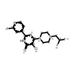 O=c1[nH]c(-c2ccnc(F)c2)nc(N2CCN(CC(F)F)CC2)c1Cl